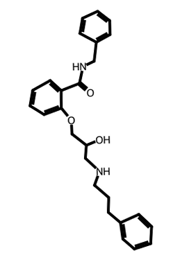 O=C(NCc1ccccc1)c1ccccc1OCC(O)CNCCCc1ccccc1